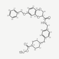 CC(C)(C)OC(=O)N1CCN(Cc2ccc(CNC(=O)C3COc4ccc(OCc5ccccc5)cc4O3)cc2)CC1